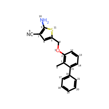 Cc1c(OCc2cc(C#N)c(N)s2)cccc1-c1ccccc1